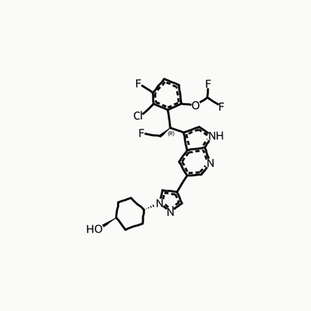 O[C@H]1CC[C@H](n2cc(-c3cnc4[nH]cc([C@@H](CF)c5c(OC(F)F)ccc(F)c5Cl)c4c3)cn2)CC1